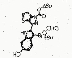 CC(C)(C)OC(=O)n1nc(-c2[nH]c3cc(O)ccc3c2Br)c2sccc21.CC(C)(C)OC=O